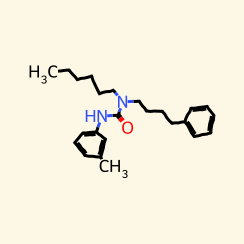 CCCCCCN(CCCCc1ccccc1)C(=O)Nc1cccc(C)c1